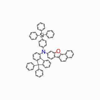 c1ccc(C2(c3ccccc3)c3ccccc3-c3c(N(c4ccc([Si](c5ccccc5)(c5ccccc5)c5ccccc5)cc4)c4ccc5c(c4)oc4c6ccccc6ccc54)cccc32)cc1